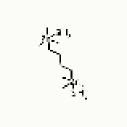 [CH3][Zn]([CH3])([CH3])([SiH3])[CH2]CC[CH2][Zn]([CH3])([CH3])([CH3])[SiH3]